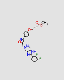 COC(=O)CCCOc1ccc(-c2cc(CN3Cc4nc(-c5cccc(F)c5F)[nH]c4C=N3)on2)cc1